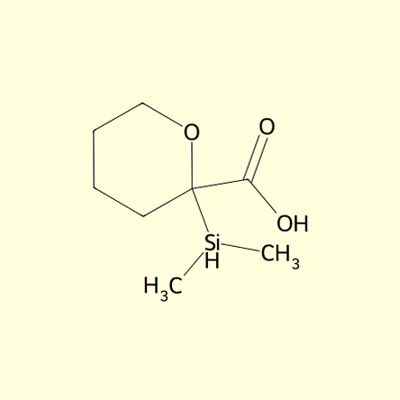 C[SiH](C)C1(C(=O)O)CCCCO1